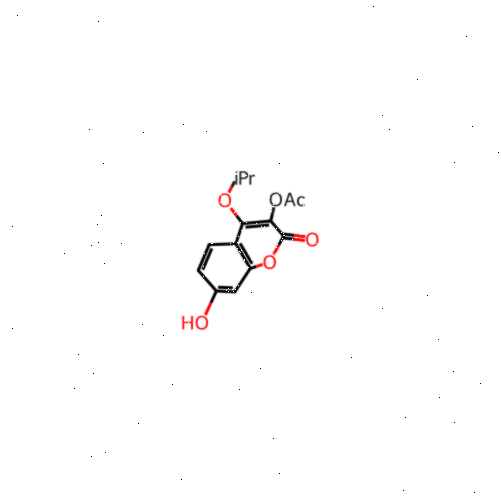 CC(=O)Oc1c(OC(C)C)c2ccc(O)cc2oc1=O